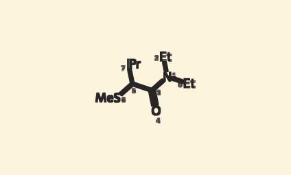 CCN(CC)C(=O)C(SC)C(C)C